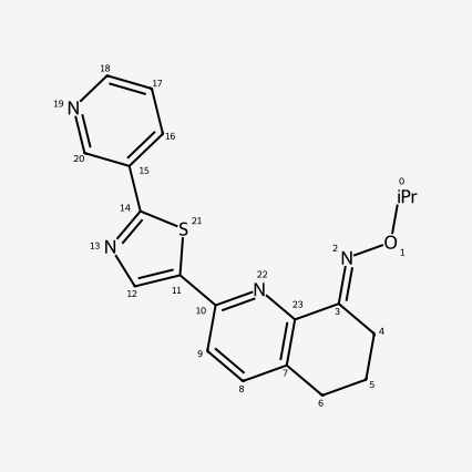 CC(C)O/N=C1\CCCc2ccc(-c3cnc(-c4cccnc4)s3)nc21